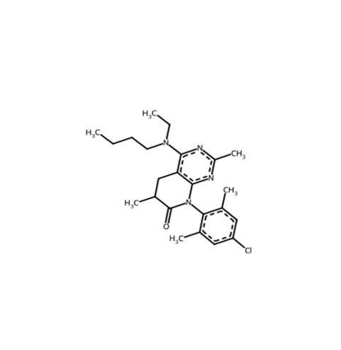 CCCCN(CC)c1nc(C)nc2c1CC(C)C(=O)N2c1c(C)cc(Cl)cc1C